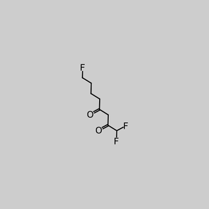 O=C(CCCCF)CC(=O)C(F)F